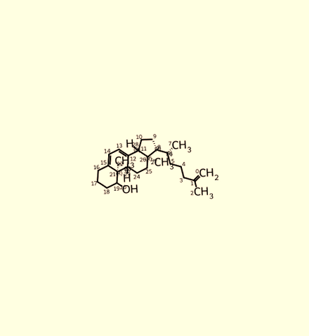 C=C(C)CCC[C@@H](C)[C@H]1CC[C@H]2C3=CC=C4CCCC(O)[C@]4(C)[C@H]3CC[C@]12C